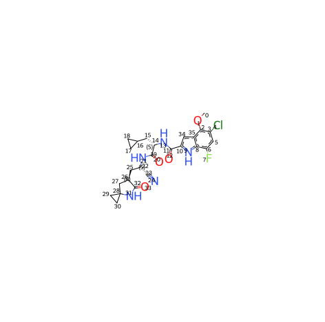 COc1c(Cl)cc(F)c2[nH]c(C(=O)N[C@@H](CC3CC3)C(=O)N[C@H](C#N)C[C@@H]3CC4(CC4)NC3=O)cc12